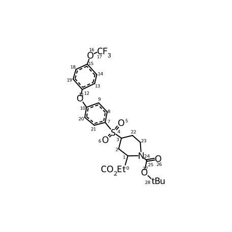 CCOC(=O)C1CC(S(=O)(=O)c2ccc(Oc3ccc(OC(F)(F)F)cc3)cc2)CCN1C(=O)OC(C)(C)C